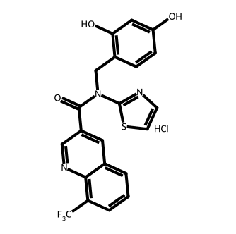 Cl.O=C(c1cnc2c(C(F)(F)F)cccc2c1)N(Cc1ccc(O)cc1O)c1nccs1